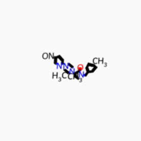 Cc1ccc(CN2CC[C@H](N3CCN(c4ccc(N=O)cn4)CC3(C)C)C2=O)cc1